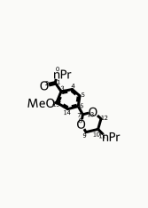 CCCC(=O)c1ccc(C2OCC(CCC)CO2)cc1OC